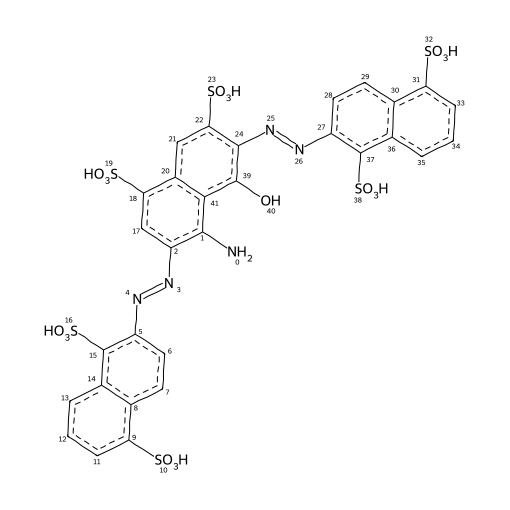 Nc1c(N=Nc2ccc3c(S(=O)(=O)O)cccc3c2S(=O)(=O)O)cc(S(=O)(=O)O)c2cc(S(=O)(=O)O)c(N=Nc3ccc4c(S(=O)(=O)O)cccc4c3S(=O)(=O)O)c(O)c12